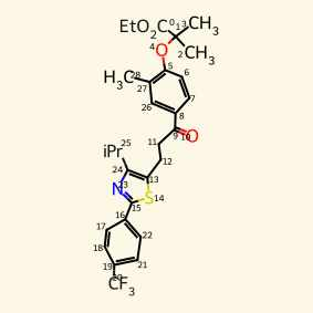 CCOC(=O)C(C)(C)Oc1ccc(C(=O)CCc2sc(-c3ccc(C(F)(F)F)cc3)nc2C(C)C)cc1C